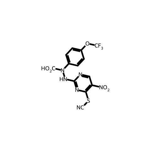 N#CSc1nc(NN(C(=O)O)c2ccc(OC(F)(F)F)cc2)ncc1[N+](=O)[O-]